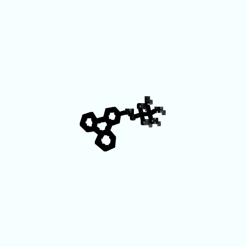 CC(C)(P)C(C)(C)OBc1ccc2c3ccccc3c3ccccc3c2c1